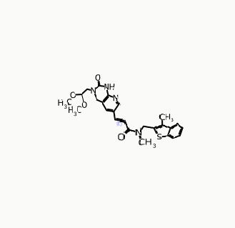 COC(CN1Cc2cc(/C=C/C(=O)N(C)Cc3sc4ccccc4c3C)cnc2NC1=O)OC